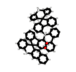 c1ccc(-c2ccccc2N(c2cccc3c2-c2ccccc2C32c3ccccc3Oc3ccccc32)c2cccc3c2-c2ccccc2C32c3ccccc3Sc3cc4ccccc4cc32)cc1